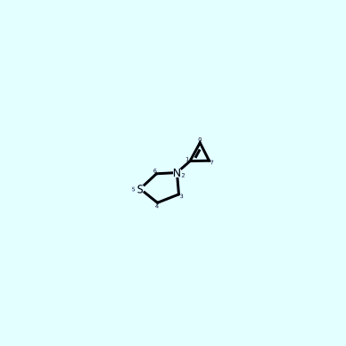 C1=C(N2CCSC2)C1